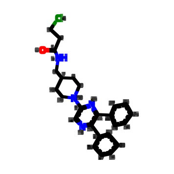 O=C(CCCl)NCC1CCN(c2cnc(-c3ccccc3)c(-c3ccccc3)n2)CC1